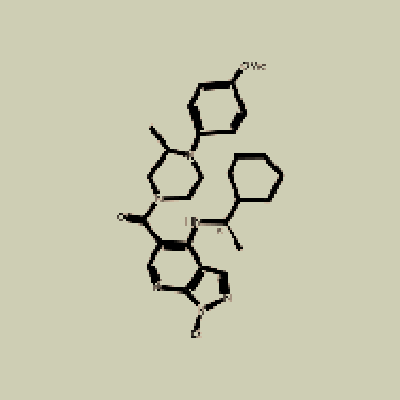 CCn1ncc2c(N[C@H](C)C3CCCCC3)c(C(=O)N3CCN(c4ccc(OC)cc4)C(C)C3)cnc21